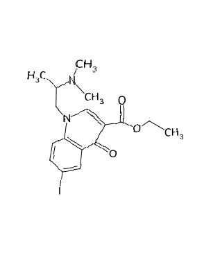 CCOC(=O)c1cn(CC(C)N(C)C)c2ccc(I)cc2c1=O